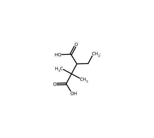 [CH2]CC(C(=O)O)C(C)(C)C(=O)O